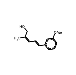 COc1cccc(C=CC=C(C)CO)c1